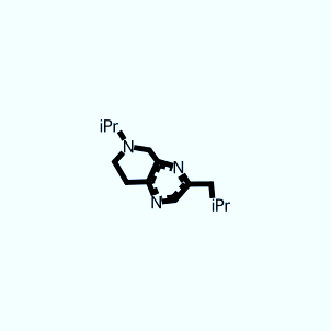 CC(C)Cc1cnc2c(n1)CN(C(C)C)CC2